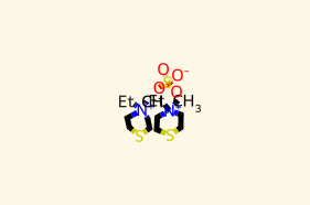 CC[N+]1(C)CCSCC1.CC[N+]1(C)CCSCC1.O=S(=O)([O-])[O-]